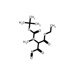 CCOC(=O)C(C(=O)N=O)N(C)C(=O)OC(C)(C)C